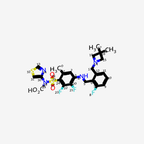 Cc1cc(NCc2c(F)cccc2CN2CC(C)(C)C2)c(F)c(F)c1S(=O)(=O)N(C(=O)O)c1cscn1